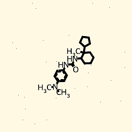 CN(C)c1ccc(NC(=O)NC2CCCCC2(C)C2CCCC2)cc1